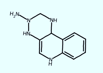 NN1CNC2C(=CNc3ccccc32)N1